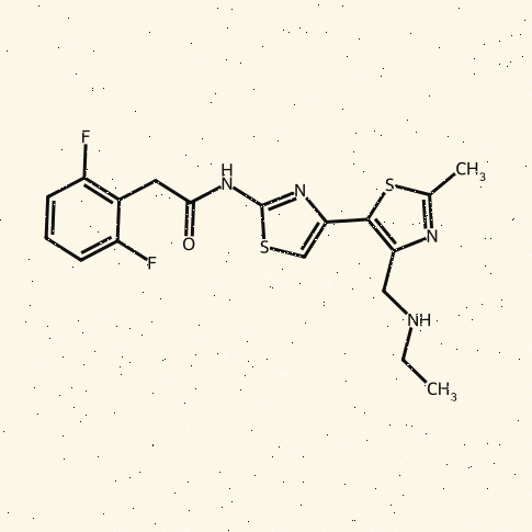 CCNCc1nc(C)sc1-c1csc(NC(=O)Cc2c(F)cccc2F)n1